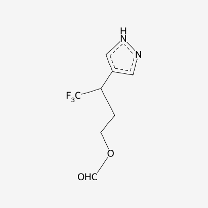 O=COCCC(c1cn[nH]c1)C(F)(F)F